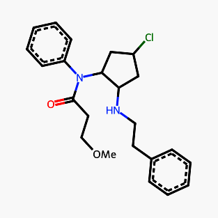 COCCC(=O)N(c1ccccc1)C1CC(Cl)CC1NCCc1ccccc1